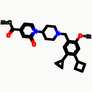 CCOc1cc(C2CCC2)c(C2CC2)cc1CN1CCC(n2ccc(C(=O)OC)cc2=O)CC1